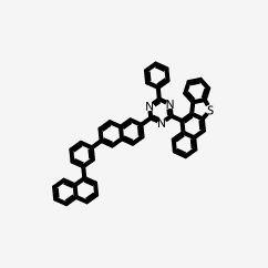 c1ccc(-c2nc(-c3ccc4cc(-c5cccc(-c6cccc7ccccc67)c5)ccc4c3)nc(-c3c4ccccc4cc4sc5ccccc5c34)n2)cc1